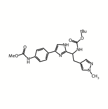 COC(=O)Nc1ccc(-c2c[nH]c(C(Cc3cnn(C)c3)NC(=O)OC(C)(C)C)n2)cc1